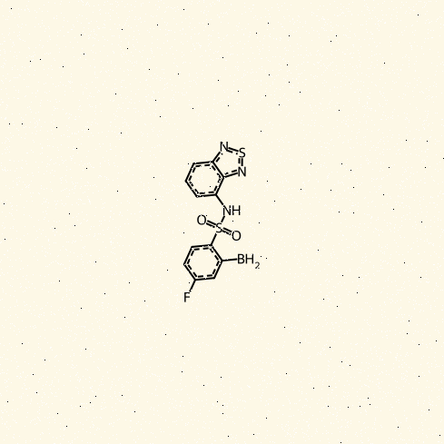 Bc1cc(F)ccc1S(=O)(=O)Nc1cccc2nsnc12